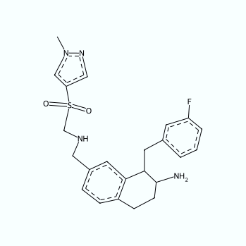 Cn1cc(S(=O)(=O)CNCc2ccc3c(c2)C(Cc2cccc(F)c2)C(N)CC3)cn1